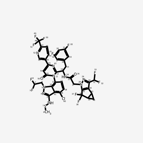 CSNc1nn(CC(F)F)c2c(-n3c(C(Cc4cc(F)cc(F)c4)NC(=O)Cn4nc(C(F)F)c5c4C(F)(F)C4CC54)nc(-c4ccc(C(F)(F)F)nc4)cc3=O)ccc(Cl)c12